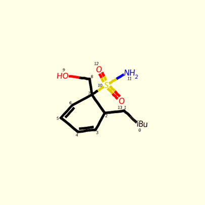 CCC(C)CC1C=CC=CC1(CO)S(N)(=O)=O